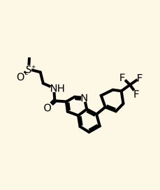 C[S+]([O-])CCNC(=O)c1cnc2c(C3=CCC(C(F)(F)F)CC3)cccc2c1